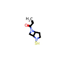 C=CC(=O)N1CC2C1CCN2S